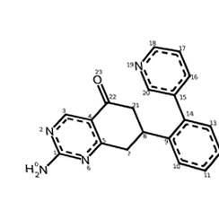 Nc1ncc2c(n1)CC(c1ccccc1-c1cccnc1)CC2=O